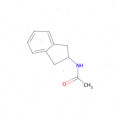 CC(=O)NC1Cc2ccccc2C1